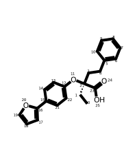 CC[C@@](CCc1ccccc1)(Oc1ccc(-c2ccco2)cc1)C(=O)O